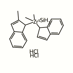 CC1=Cc2ccccc2[CH]1[Zr]([CH3])([CH3])(=[SiH2])[CH]1C=Cc2ccccc21.Cl.Cl